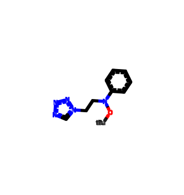 CC(C)(C)ON(CCn1cnnn1)c1ccccc1